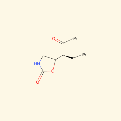 CC(C)C[C@H](C(=O)C(C)C)C1CNC(=O)O1